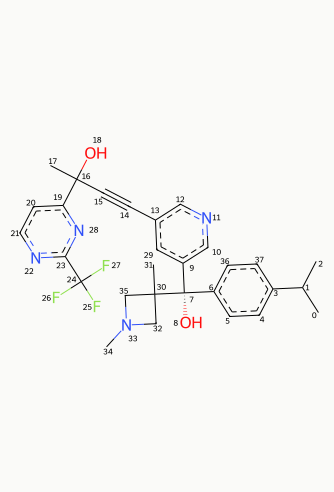 CC(C)c1ccc([C@](O)(c2cncc(C#CC(C)(O)c3ccnc(C(F)(F)F)n3)c2)C2(C)CN(C)C2)cc1